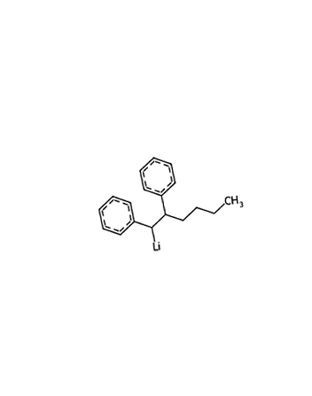 [Li][CH](c1ccccc1)C(CCCC)c1ccccc1